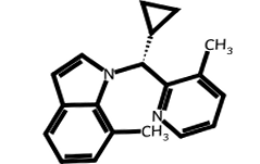 Cc1cccnc1[C@@H](C1CC1)n1ccc2cccc(C)c21